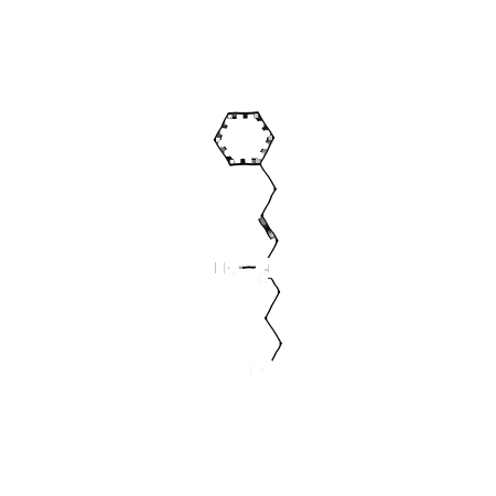 CCCC[SiH](O)C=CCc1ccccc1